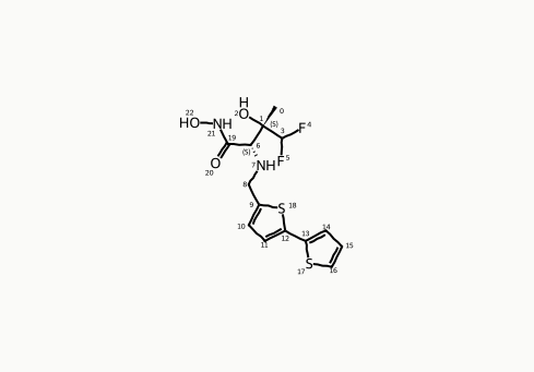 C[C@@](O)(C(F)F)[C@H](NCc1ccc(-c2cccs2)s1)C(=O)NO